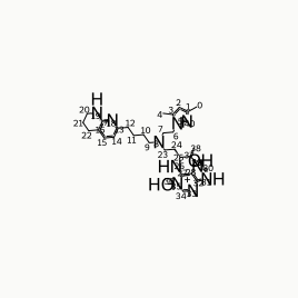 Cc1cc(C)n(CCN(CCCCc2ccc3c(n2)NCCC3)CC[C@H](Nc2c3nc[nH]c3nc[n+]2O)C(C)O)n1